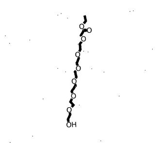 CCOC(=O)COCCOCCOCCOCCOCCOCCO